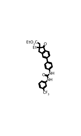 CCOC(=O)CC1(CC)Cc2cc(-c3ccc(NC(=O)Nc4cccc(C(F)(F)F)c4)cc3)ccc2C1=O